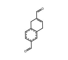 O=CC1=CCc2cc(C=O)ccc2C1